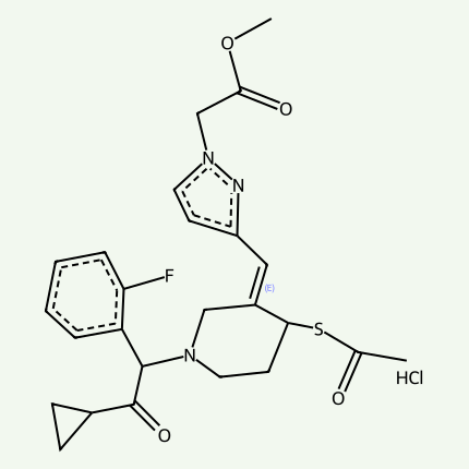 COC(=O)Cn1ccc(/C=C2\CN(C(C(=O)C3CC3)c3ccccc3F)CCC2SC(C)=O)n1.Cl